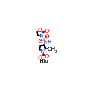 C[C@H]1C(NS(=O)(=O)N2CCOC2=O)CCN1C(=O)OC(C)(C)C